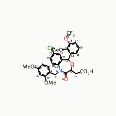 COc1ccc(CN2C(=O)C(CC(=O)O)OC(c3cccc(OC(F)(F)F)c3OC)c3cc(Cl)ccc32)c(OC)c1